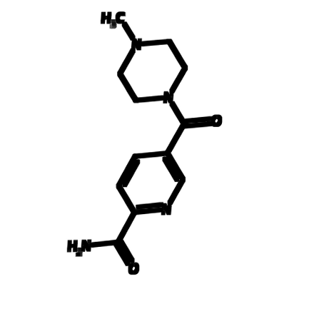 CN1CCN(C(=O)c2ccc(C(N)=O)nc2)CC1